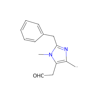 [CH2]c1nc(Cc2ccccc2)n(C)c1CC=O